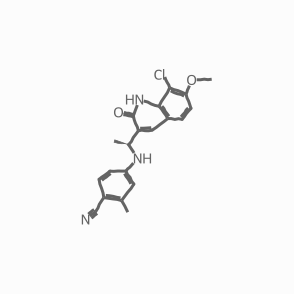 COc1ccc2cc([C@H](C)Nc3ccc(C#N)c(C)c3)c(=O)[nH]c2c1Cl